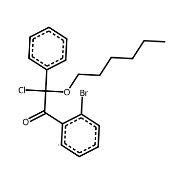 CCCCCCOC(Cl)(C(=O)c1[c]cccc1Br)c1ccccc1